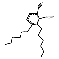 CCCCCCc1ccc(C#N)c(C#N)c1CCCCCC